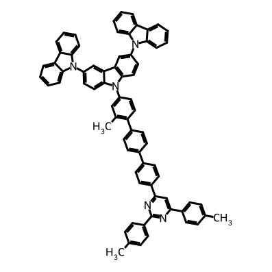 Cc1ccc(-c2cc(-c3ccc(-c4ccc(-c5ccc(-n6c7ccc(-n8c9ccccc9c9ccccc98)cc7c7cc(-n8c9ccccc9c9ccccc98)ccc76)cc5C)cc4)cc3)nc(-c3ccc(C)cc3)n2)cc1